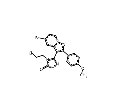 COc1ccc(-c2nn3ccc(Br)cc3c2-c2noc(=O)n2CCCl)cc1